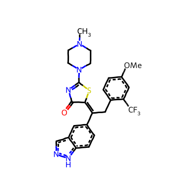 COc1ccc(CC(=C2SC(N3CCN(C)CC3)=NC2=O)c2ccc3[nH]ncc3c2)c(C(F)(F)F)c1